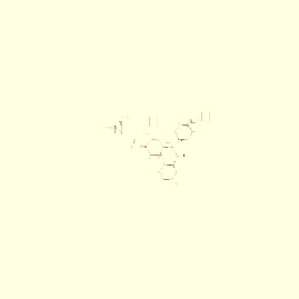 CCCN(CCOc1ccc(C(=C(CC)c2ccccc2)c2ccc(O)cc2)cc1)C(=O)O